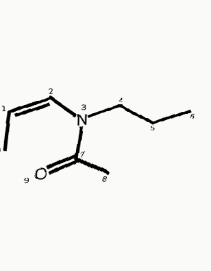 C/C=C\N(CCC)C(C)=O